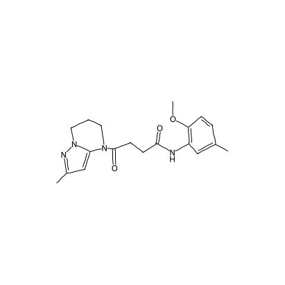 COc1ccc(C)cc1NC(=O)CCC(=O)N1CCCn2nc(C)cc21